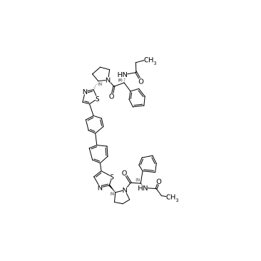 CCC(=O)N[C@H](C(=O)N1CCC[C@H]1c1ncc(-c2ccc(-c3ccc(-c4cnc([C@@H]5CCCN5C(=O)[C@H](NC(=O)CC)c5ccccc5)s4)cc3)cc2)s1)c1ccccc1